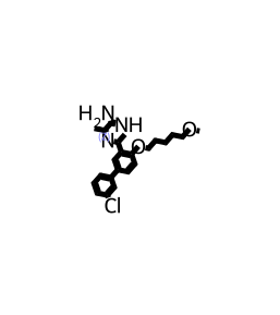 COCCCCCOc1ccc(-c2cccc(Cl)c2)cc1C(C)/N=C(/C)C(=N)N